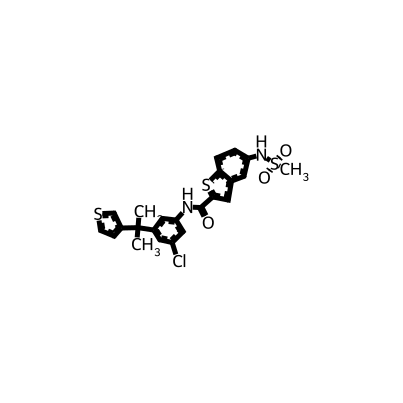 CC(C)(c1ccsc1)c1cc(Cl)cc(NC(=O)c2cc3cc(NS(C)(=O)=O)ccc3s2)c1